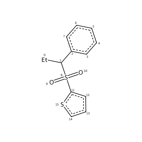 CCC(c1ccccc1)S(=O)(=O)c1cccs1